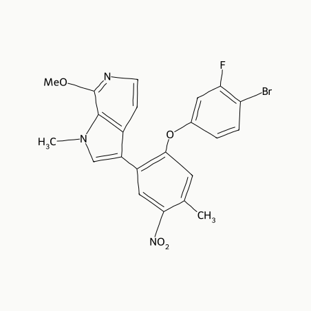 COc1nccc2c(-c3cc([N+](=O)[O-])c(C)cc3Oc3ccc(Br)c(F)c3)cn(C)c12